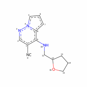 [C-]#[N+]c1cnn2cccc2c1NCC1CCCO1